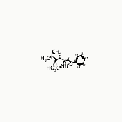 CN(C)C(=O)C[C@H](CSc1ccccc1)NC(=O)O